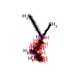 CCCCCCCCCCCCC/C=C/[C@@H](O)[C@H](CO[C@@H]1OC(CO)[C@@H](O[C@@H]2OC(CO)[C@H](O[C@@H]3OC(CO)[C@H](O)[C@H](O[C@@H]4OC(CO[C@@H]5OC(CO)[C@@H](O[C@@H]6OC(CO)[C@H](O)[C@H](O)C6O)[C@H](O)C5NC(C)=O)[C@H](O)[C@H](O)C4NC(C)=O)C3O)[C@H](O)C2O)[C@H](O)C1O)NC(=O)CCCCCCCCCCCCCCCCCCCCCCC